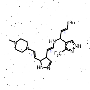 CCCC/C=C/C(N/C=C/C1C=NNC1/C=C/N1CCN(C)CC1)c1c[nH]nc1C(F)(F)F